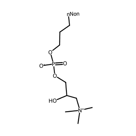 CCCCCCCCCCCCOP(=O)([O-])OCC(O)C[N+](C)(C)C